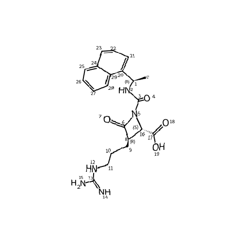 C[C@@H](NC(=O)N1C(=O)[C@H](CCCNC(=N)N)[C@H]1C(=O)O)c1cccc2ccccc12